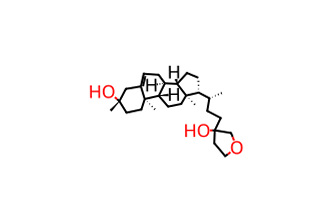 C[C@H](CCC1(O)CCOC1)[C@H]1CC[C@H]2[C@@H]3CC=C4C[C@@](C)(O)CC[C@]4(C)[C@H]3CC[C@]12C